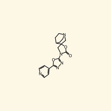 O=C1OC2(CN3CCC2CC3)CN1c1nnc(-c2ccncc2)o1